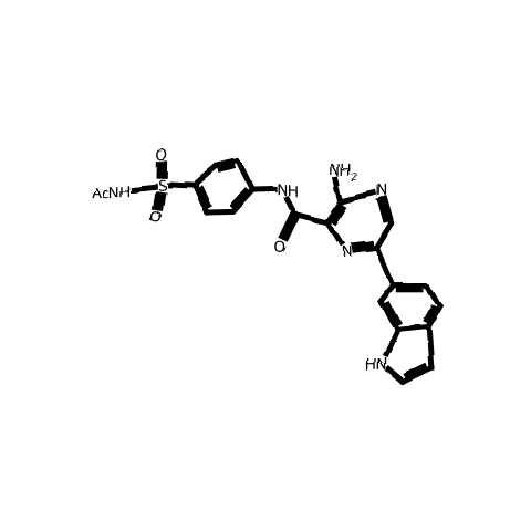 CC(=O)NS(=O)(=O)c1ccc(NC(=O)c2nc(-c3ccc4cc[nH]c4c3)cnc2N)cc1